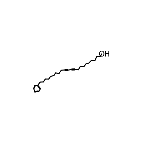 OCCCCCCCCCC#CC#CCCCCCCCCCc1ccccc1